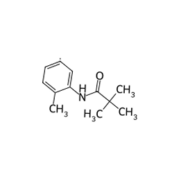 Cc1cc[c]cc1NC(=O)C(C)(C)C